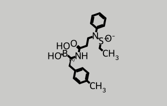 CC[S+]([O-])N(CCC(=O)N[C@@H](Cc1ccc(C)cc1)B(O)O)c1ccccc1